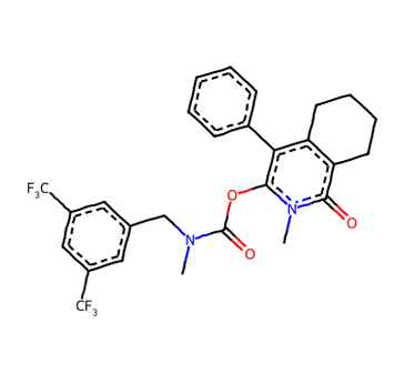 CN(Cc1cc(C(F)(F)F)cc(C(F)(F)F)c1)C(=O)Oc1c(-c2ccccc2)c2c(c(=O)n1C)CCCC2